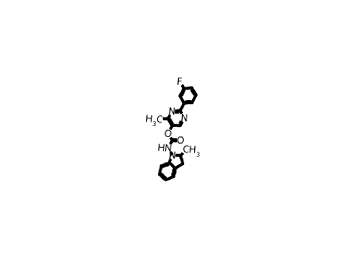 Cc1nc(-c2cccc(F)c2)ncc1OC(=O)NN1c2ccccc2CC1C